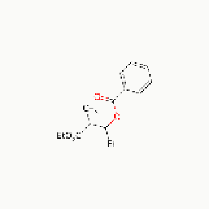 CCOC(=O)C(C)C(CC)OC(=O)c1ccccc1